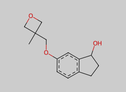 CC1(COc2ccc3c(c2)C(O)CC3)COC1